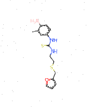 Bc1ccc(NC(=S)NCCSCc2ccco2)cc1C